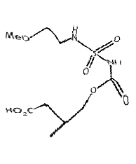 COCCNS(=O)(=O)NC(=O)OCC(C)CC(=O)O